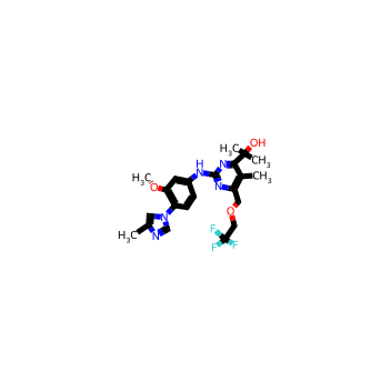 COc1cc(Nc2nc(COCC(F)(F)F)c(C)c(C(C)(C)O)n2)ccc1-n1cnc(C)c1